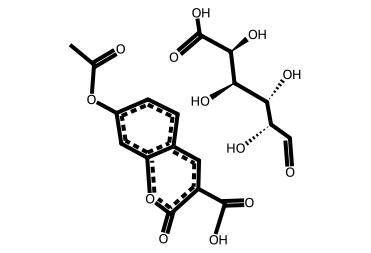 CC(=O)Oc1ccc2cc(C(=O)O)c(=O)oc2c1.O=C[C@H](O)[C@@H](O)[C@@H](O)[C@H](O)C(=O)O